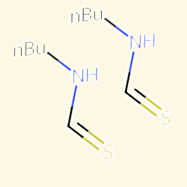 CCCCNC=S.CCCCNC=S